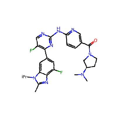 Cc1nc2c(F)cc(-c3nc(Nc4ccc(C(=O)N5CC[C@@H](N(C)C)C5)cn4)ncc3F)cc2n1C(C)C